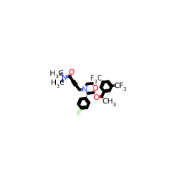 C[C@@H](O[C@H]1OCCN(CC#CC(=O)N(C)C)[C@H]1c1ccc(F)cc1)c1cc(C(F)(F)F)cc(C(F)(F)F)c1